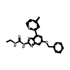 CCNC(=O)Nc1nc2cc(OCc3ccccc3)cc(-c3cc(C)ccn3)c2s1